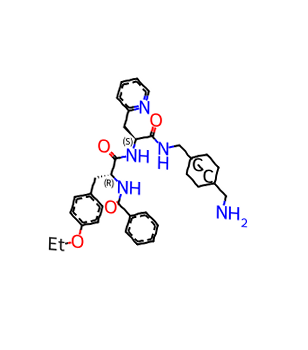 CCOc1ccc(C[C@@H](NC(=O)c2ccccc2)C(=O)N[C@@H](Cc2ccccn2)C(=O)NCC23CCC(CN)(CC2)CC3)cc1